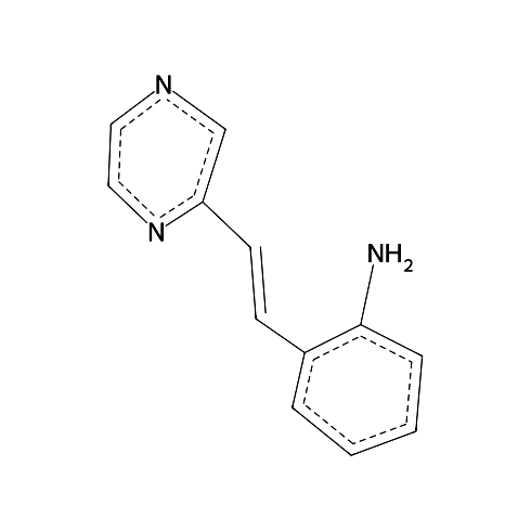 Nc1ccccc1C=Cc1cnccn1